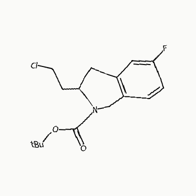 CC(C)(C)OC(=O)N1Cc2ccc(F)cc2CC1CCCl